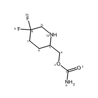 NC(=O)OCC1CCC(F)(F)CN1